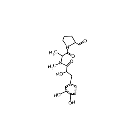 CC(C(=O)N1CCCC1C=O)N(C)C(=O)C(O)Cc1ccc(O)c(O)c1